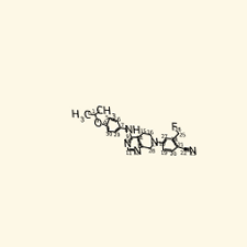 CC(C)Oc1ccc(Nc2ncnc3c2CCN(c2ccc(C#N)c(CF)c2)C3)cc1